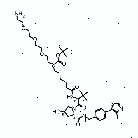 Cc1ncsc1-c1ccc(CNC(=O)[C@@H]2C[C@@H](O)CN2C(=O)[C@@H](NC(=O)CCCCCN(CCOCCOCCOCCN)C(=O)OC(C)(C)C)C(C)(C)C)cc1